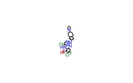 CP(C)(=O)c1c(Nc2nc(Nc3ccc4c(c3)CC[C@@H](N3CCCC3)CC4)ncc2Cl)ccc(F)c1Cl